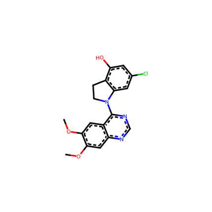 COc1cc2ncnc(N3CCc4c(O)cc(Cl)cc43)c2cc1OC